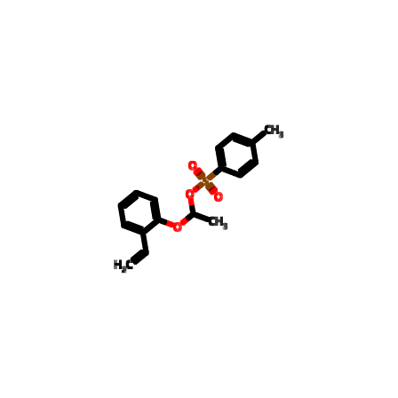 C=Cc1ccccc1OC(C)OS(=O)(=O)c1ccc(C)cc1